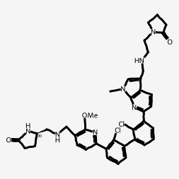 COc1nc(-c2cccc(-c3cccc(-c4ccc5c(CNCCN6CCCC6=O)cn(C)c5n4)c3Cl)c2Cl)ccc1CNC[C@H]1CCC(=O)N1